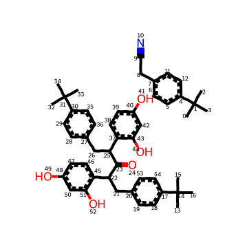 CC(C)(C)c1ccc(CC#N)cc1.CC(C)(C)c1ccc(CC(C(=O)C(Cc2ccc(C(C)(C)C)cc2)c2ccc(O)cc2O)c2ccc(O)cc2O)cc1